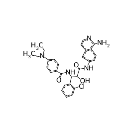 CCN(CC)c1ccc(C(=O)NC(c2ccccc2Cl)C(O)C(=O)Nc2ccc3c(N)nccc3c2)cc1